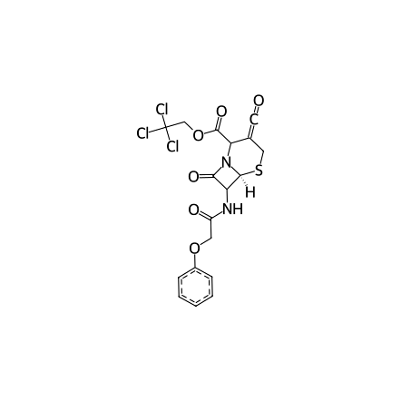 O=C=C1CS[C@H]2C(NC(=O)COc3ccccc3)C(=O)N2C1C(=O)OCC(Cl)(Cl)Cl